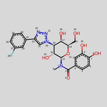 CN(C(=O)c1ccc(O)c(O)c1)[C@@H]1O[C@H](CO)[C@H](O)[C@H](n2cc(-c3cccc(F)c3)nn2)[C@H]1O